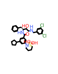 O=C(N[C@@H](Cc1ccccc1)[C@@H](O)CNCc1cc(Cl)cc(Cl)c1)c1cc(C2CCCC2)cc(N2CCCCS2(O)O)c1